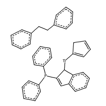 C1=CC[C]([Ti][CH]2C(P(c3ccccc3)c3ccccc3)=Cc3ccccc32)=C1.c1ccc(CCc2ccccc2)cc1